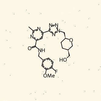 COc1cc(CNC(=O)c2cc(-c3nnn(C[C@@H]4CC[C@H](CO)CO4)n3)nc(C)n2)ccc1F